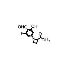 NC(=O)C1CCN1c1cc(O)c(C=O)c(F)c1